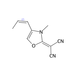 C/C=C\C1=COC(=C(C#N)C#N)N1C